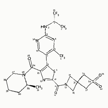 C[C@H](Nc1cc(C(F)(F)F)c(-c2sc(C(=O)N3CC4(C3)CS(=O)(=O)C4)nc2C(=O)N2CCCC[C@@H]2C)cn1)C(F)(F)F